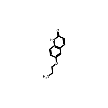 NCCOc1ccc2[nH]c(=O)ccc2c1